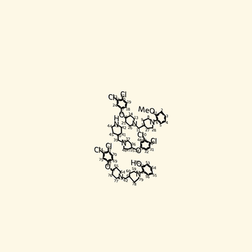 COc1ccccc1N1CCC(CN2CCC(Oc3ccc(Cl)c(Cl)c3)CC2)CC1.Clc1ccc(OC2CCN(CC3CCNCC3)CC2)cc1Cl.Oc1ccccc1N1CCC(CN2CCC(Oc3ccc(Cl)c(Cl)c3)CC2)CC1